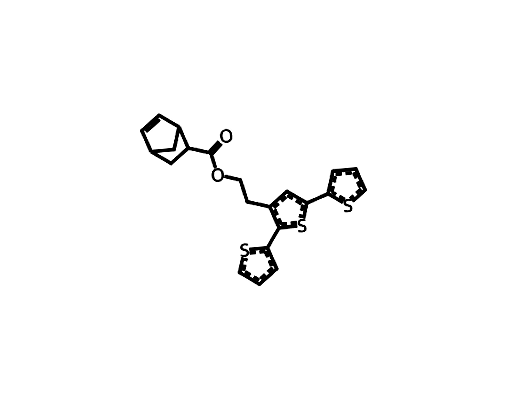 O=C(OCCc1cc(-c2cccs2)sc1-c1cccs1)C1CC2C=CC1C2